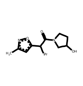 Cc1cc(C(C(=O)N2CCC(O)C2)C(C)C)on1